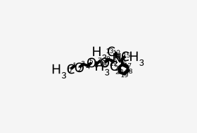 CCOCCOCCOCCN(CC)C(C)c1ccccc1C